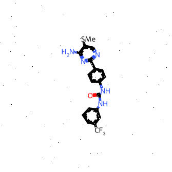 CSc1cnc(-c2ccc(NC(=O)Nc3cccc(C(F)(F)F)c3)cc2)nc1N